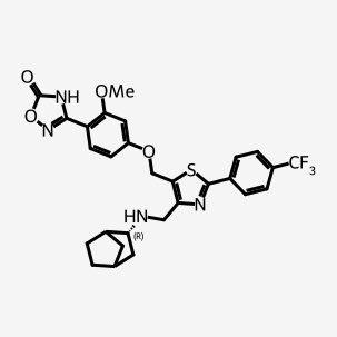 COc1cc(OCc2sc(-c3ccc(C(F)(F)F)cc3)nc2CN[C@@H]2CC3CCC2C3)ccc1-c1noc(=O)[nH]1